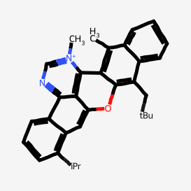 Cc1c2c(c(CC(C)(C)C)c3ccccc13)Oc1cc3c(C(C)C)cccc3c3nc[n+](C)c-2c13